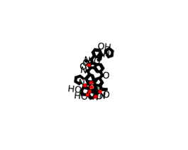 O=C(C1C=CC(OCCN2CCCCC2)(c2conc2-c2ccc(O)cc2)C(c2conc2-c2ccc(O)cc2)=C1)C1C=CC(OCCN2CCCCC2)(c2conc2-c2ccc(O)cc2)C(c2conc2-c2ccc(O)cc2)=C1